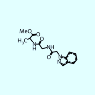 COC(=O)C(C)NC(=O)CNC(=O)Cn1ncc2ccccc21